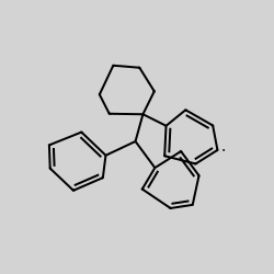 [c]1ccc(C2(C(c3ccccc3)c3ccccc3)CCCCC2)cc1